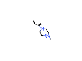 C=CC(=C)N1CCN(C)CC1